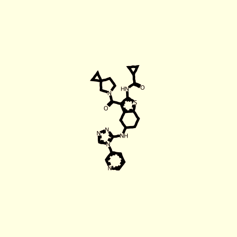 O=C(Nc1sc2c(c1C(=O)N1CCC3(CC3)C1)CC(Nc1nncn1-c1cccnc1)CC2)C1CC1